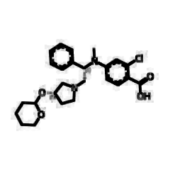 CN(c1ccc(C(=O)O)c(Cl)c1)[C@H](CN1CC[C@H](OC2CCCCO2)C1)c1ccccc1